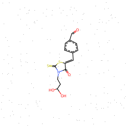 O=Cc1ccc(/C=C2\SC(=S)N(CCC(O)O)C2=O)cc1